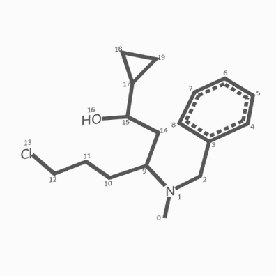 CN(Cc1ccccc1)C(CCCCl)CC(O)C1CC1